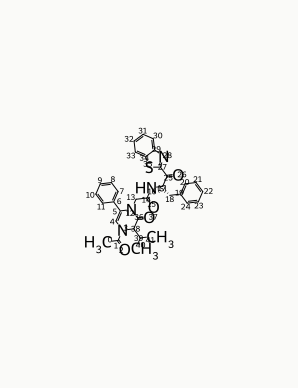 CC(=O)N1C=C(c2ccccc2)N(CC(=O)N[C@@H](Cc2ccccc2)C(=O)c2nc3ccccc3s2)C(=O)C1C(C)C